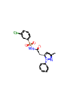 Cc1cc(CC(=O)NS(=O)(=O)c2cccc(Cl)c2)n(-c2ccccc2)n1